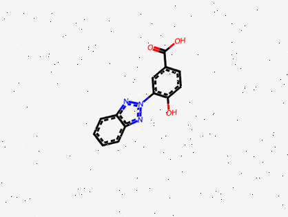 O=C(O)c1ccc(O)c(-n2nc3ccccc3n2)c1